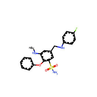 CCCCNc1cc(CNc2ccc(F)cc2)cc(S(N)(=O)=O)c1Oc1ccccc1